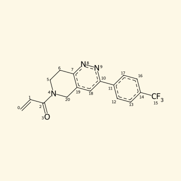 C=CC(=O)N1CCc2nnc(-c3ccc(C(F)(F)F)cc3)cc2C1